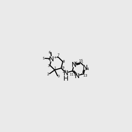 CC1(C)C[N+](C)(C)CCC1Nc1n[c]n[c]n1